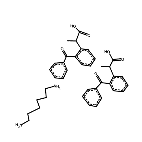 CC(C(=O)O)c1ccccc1C(=O)c1ccccc1.CC(C(=O)O)c1ccccc1C(=O)c1ccccc1.NCCCCCCN